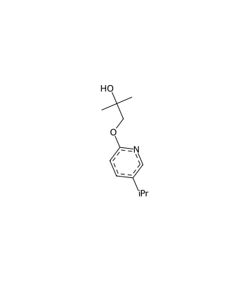 CC(C)c1ccc(OCC(C)(C)O)nc1